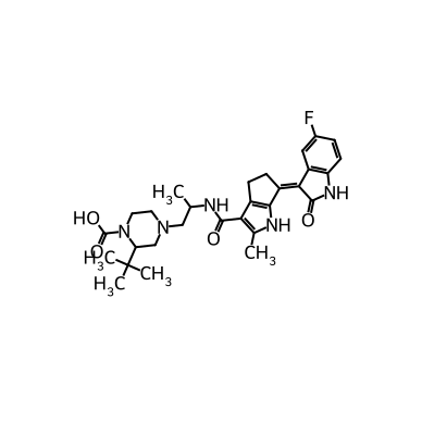 Cc1[nH]c2c(c1C(=O)NC(C)CN1CCN(C(=O)O)C(C(C)(C)C)C1)CCC2=C1C(=O)Nc2ccc(F)cc21